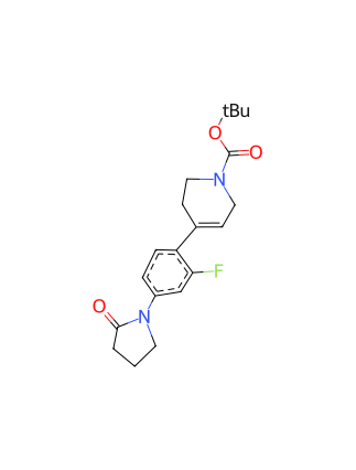 CC(C)(C)OC(=O)N1CC=C(c2ccc(N3CCCC3=O)cc2F)CC1